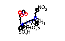 Cc1ccc(S(=O)(=O)O)cc1C(C)(C)C(/C=C/C=C/C=C/C=C1/N(CCCCCC(=O)ON2C(=O)CCC2=O)c2ccc(S(=O)(=O)O)cc2C1(C)C)=N/CCCc1ccc([N+](=O)[O-])cc1